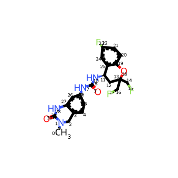 CN1Cc2ccc(NC(=O)N[C@@H]3CC(CF)(CF)Oc4ccc(F)cc43)cc2NC1=O